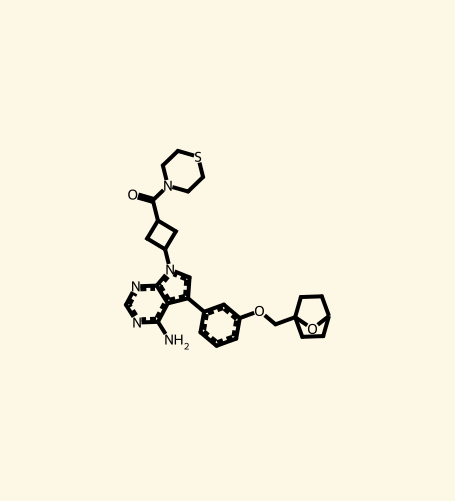 Nc1ncnc2c1c(-c1cccc(OCC34CCC(CC3)O4)c1)cn2C1CC(C(=O)N2CCSCC2)C1